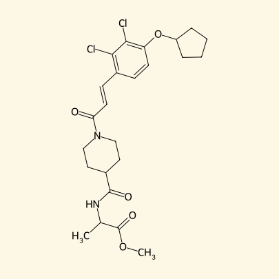 COC(=O)C(C)NC(=O)C1CCN(C(=O)C=Cc2ccc(OC3CCCC3)c(Cl)c2Cl)CC1